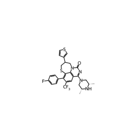 C[C@@H]1CN(c2nc(=O)n3c4c(c(-c5ccc(F)cc5)c(C(F)(F)F)cc24)SCC(c2ccsc2)C3)C[C@H](C)N1